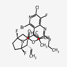 C=C[C@H]1N(c2nc(SCC)nc3c(F)c(Cl)nc(Br)c23)C[C@@]2(F)CC[C@]1(F)N2C(=O)OC(C)(C)C